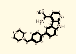 CCCCC(N)c1ccnc2[nH]c3ccc(-c4ccc(CN5CCOCC5)cc4)cc3c12